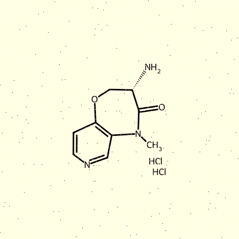 CN1C(=O)[C@@H](N)COc2ccncc21.Cl.Cl